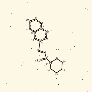 O=C(/C=C/c1cnc2ccccc2c1)N1CCCCC1